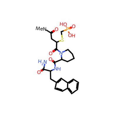 CNC(=O)CC(SCP(=O)(O)O)C(=O)N1CCCCC1C(=O)NC(Cc1ccc2ccccc2c1)C(N)=O